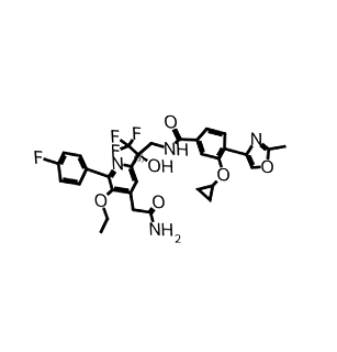 CCOc1c(CC(N)=O)cc([C@@](O)(CNC(=O)c2ccc(-c3coc(C)n3)c(OC3CC3)c2)C(F)(F)F)nc1-c1ccc(F)cc1